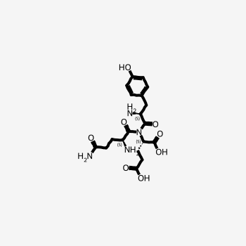 NC(=O)CC[C@H](N)C(=O)N(C(=O)[C@@H](N)Cc1ccc(O)cc1)[C@@H](CCC(=O)O)C(=O)O